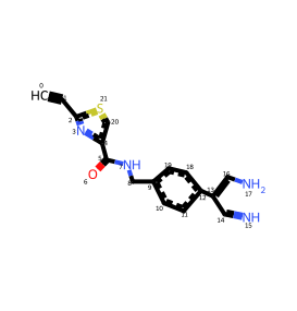 C#Cc1nc(C(=O)NCc2ccc(/C(C=N)=C/N)cc2)cs1